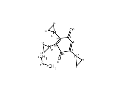 CSC.O=C1C=C(N2CC2)C(=O)C(N2CC2)=C1N1CC1